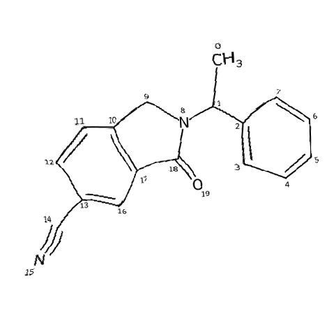 CC(c1ccccc1)N1Cc2ccc(C#N)cc2C1=O